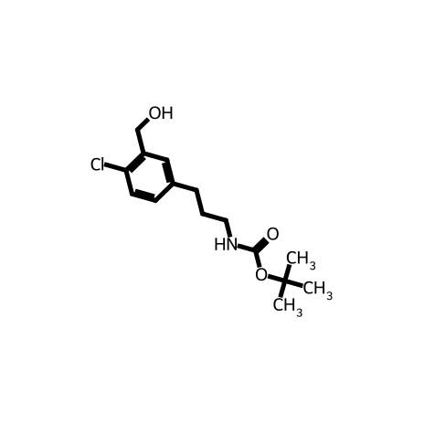 CC(C)(C)OC(=O)NCCCc1ccc(Cl)c(CO)c1